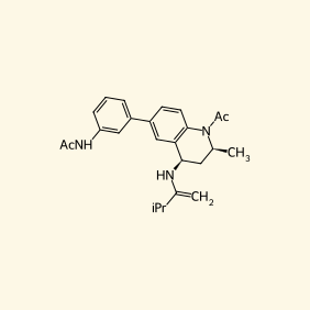 C=C(N[C@@H]1C[C@H](C)N(C(C)=O)c2ccc(-c3cccc(NC(C)=O)c3)cc21)C(C)C